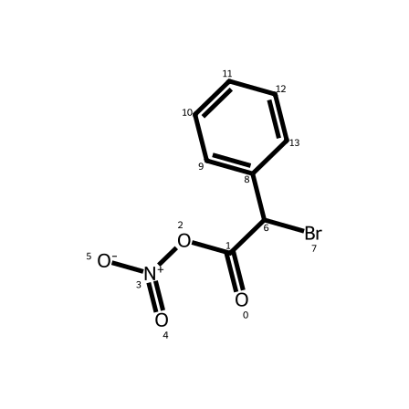 O=C(O[N+](=O)[O-])C(Br)c1ccccc1